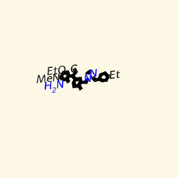 CCOC(=O)CC(c1ccc(C)c(Cn2ccnc2CC2CCC(CC)CC2)c1)c1ccc(NC)c(N)c1C